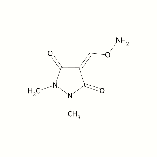 CN1C(=O)C(=CON)C(=O)N1C